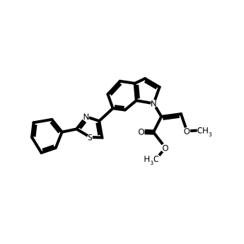 COC=C(C(=O)OC)n1ccc2ccc(-c3csc(-c4ccccc4)n3)cc21